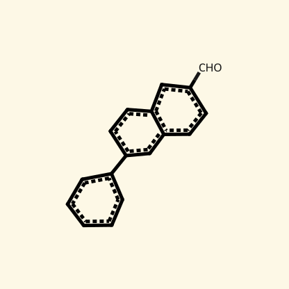 O=Cc1ccc2cc(-c3ccccc3)ccc2c1